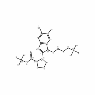 Cc1cc2c(cc1Br)nc([C@@H]1CCCN1C(=O)OC(C)(C)C)n2COCC[Si](C)(C)C